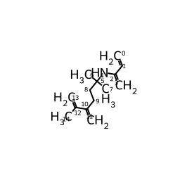 C=CC(=C)NC(C)(C)CCC(=C)C(=C)C